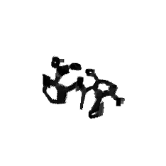 CC(SC1=CCCN=C1[N+](=O)[O-])c1c(Cl)ccc(F)c1Cl